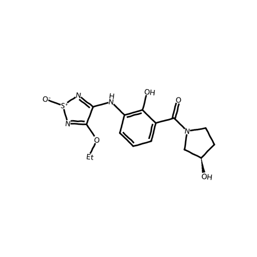 CCOc1n[s+]([O-])nc1Nc1cccc(C(=O)N2CC[C@@H](O)C2)c1O